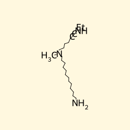 CCNCCCCCCCN(C)CCCCCCCCCCCCCN